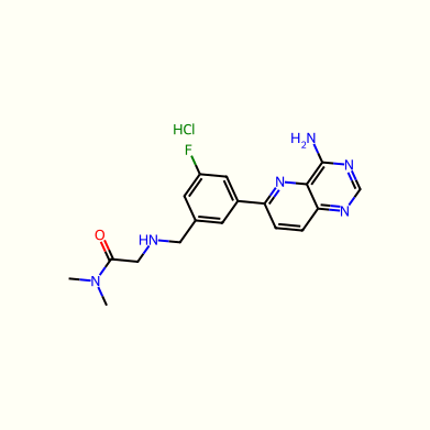 CN(C)C(=O)CNCc1cc(F)cc(-c2ccc3ncnc(N)c3n2)c1.Cl